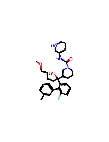 COCCCCC(O)(c1cccc(F)c1-c1cccc(C)c1)C1CCCN(C(=O)NC2CCCNC2)C1